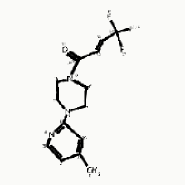 Cc1ccnc(N2CCN(C(=O)C=CC(F)(F)F)CC2)c1